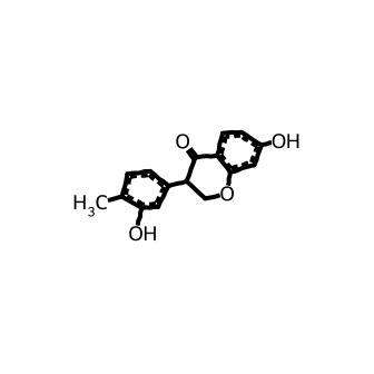 Cc1ccc(C2COc3cc(O)ccc3C2=O)cc1O